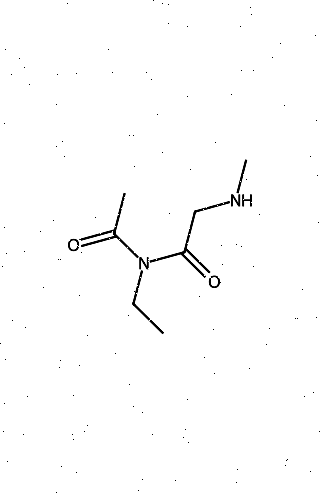 CCN(C(C)=O)C(=O)CNC